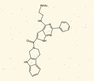 CC(=O)NCCNc1nc(-c2ccccc2)nc2[nH]c(C(=O)N3CCc4c([nH]c5ccccc45)C3)cc12